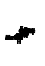 CONC(=O)Nc1ccc(-c2sc3c(c2CN(C)C)c(=O)n(-c2ccc(OCC(F)F)cn2)c(=O)n3Cc2c(F)cccc2F)cc1